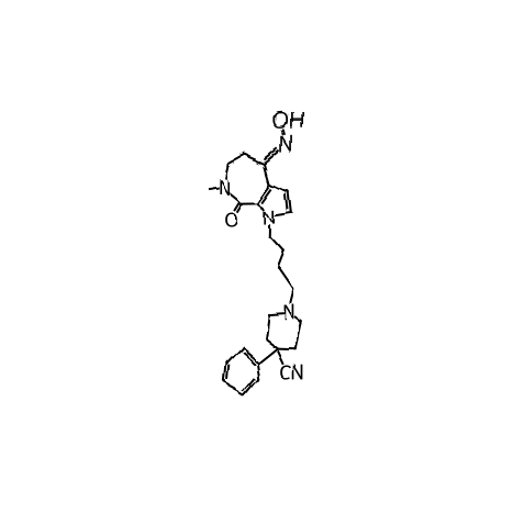 CN1CCC(=NO)c2ccn(CCCCN3CCC(C#N)(c4ccccc4)CC3)c2C1=O